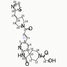 O=C(/C=C/c1cnc2c(c1)C1(CCN(C(=O)CO)CC1)C(=O)N2)N1CCC(=Cc2nccs2)CC1